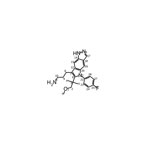 COCC(C)(C)c1c(CCCN)c2cc3[nH]ncc3cc2n1-c1ccc(F)cc1